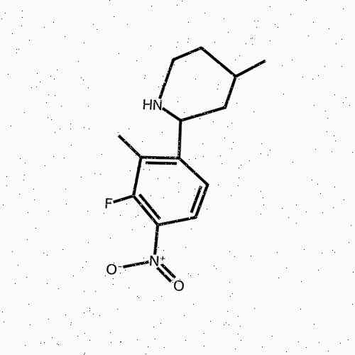 Cc1c(C2CC(C)CCN2)ccc([N+](=O)[O-])c1F